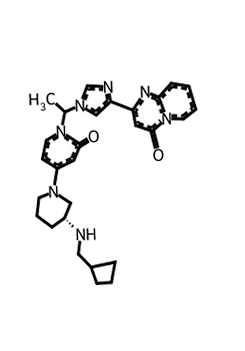 CC(n1cnc(-c2cc(=O)n3ccccc3n2)c1)n1ccc(N2CCC[C@@H](NCC3CCC3)C2)cc1=O